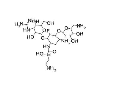 N=C(N)NC1C(O)C(CO)OC(OC2C(NC(=O)[C@@H](O)CCN)CC(N)C(OC3CC(O)C(O)C(CN)O3)C2F)C1O